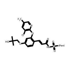 CCCCCS(=O)(=O)NC(=O)C=Cc1ccc(OCC(C)(C)O)cc1Oc1ncc(C(F)(F)F)cc1Cl